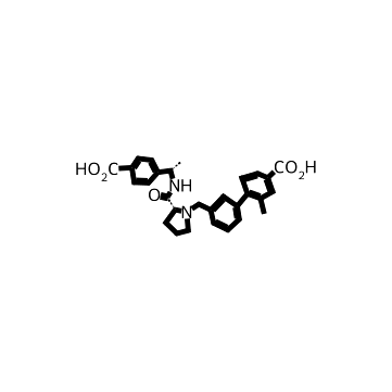 Cc1cc(C(=O)O)ccc1-c1cccc(CN2CCC[C@@H]2C(=O)N[C@@H](C)c2ccc(C(=O)O)cc2)c1